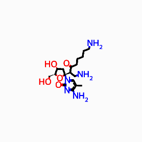 Cc1cn([C@@]2(C(CN)C(=O)CCCCCN)C[C@H](O)[C@@H](CO)O2)c(=O)nc1N